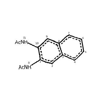 CC(=O)Nc1cc2ccccc2cc1NC(C)=O